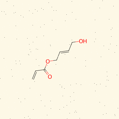 C=CC(=O)OCC=CCO